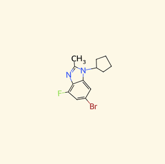 Cc1nc2c(F)cc(Br)cc2n1C1CCCC1